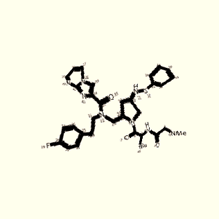 CNCC(=O)NC(C(=O)N1CC(NSc2ccccc2)CC1CN(CCc1ccc(F)cc1)C(=O)c1cn2cccnc2n1)C(C)(C)C